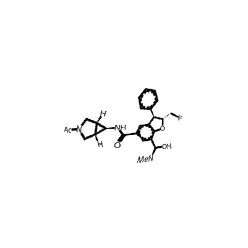 CNC(O)c1cc(C(=O)N[C@H]2[C@@H]3CN(C(C)=O)C[C@@H]32)cc2c1O[C@@H](CF)[C@@H]2c1ccccc1